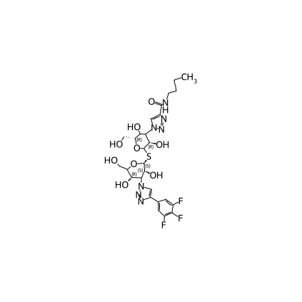 CCCCNC(=O)c1cn(C2C(O)[C@@H](CO)OC(S[C@@H]3OC(CO)[C@H](O)C(n4cc(-c5cc(F)c(F)c(F)c5)nn4)[C@@H]3O)[C@@H]2O)nn1